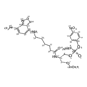 CCCCCCCCOCC(COP(=O)(CCCCCC)Oc1ccc([N+](=O)[O-])cc1)NC(=O)CCCCCNc1ccc([N+](=O)[O-])c2nonc12